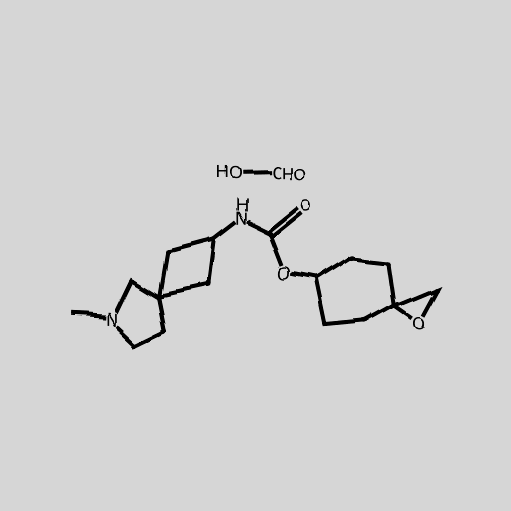 CN1CCC2(CC(NC(=O)OC3CCC4(CC3)CO4)C2)C1.O=CO